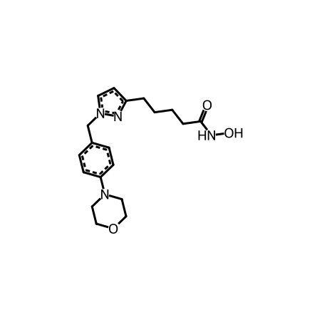 O=C(CCCCc1ccn(Cc2ccc(N3CCOCC3)cc2)n1)NO